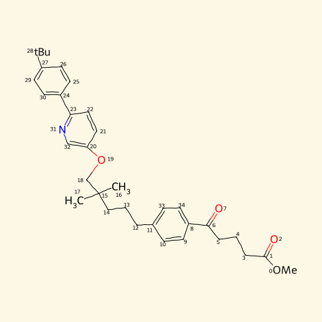 COC(=O)CCCC(=O)c1ccc(CCCC(C)(C)COc2ccc(-c3ccc(C(C)(C)C)cc3)nc2)cc1